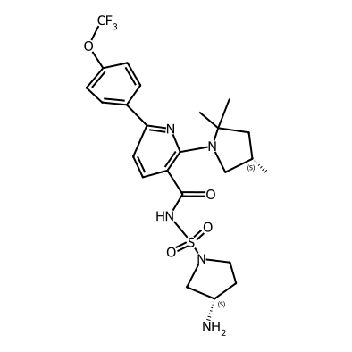 C[C@@H]1CN(c2nc(-c3ccc(OC(F)(F)F)cc3)ccc2C(=O)NS(=O)(=O)N2CC[C@H](N)C2)C(C)(C)C1